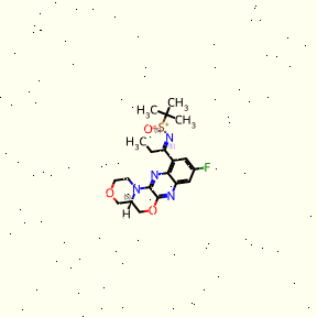 CC/C(=N\[S@+]([O-])C(C)(C)C)c1cc(F)cc2nc3c(nc12)N1CCOC[C@H]1CO3